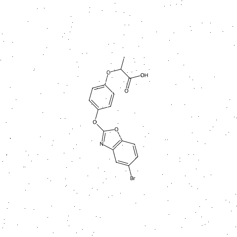 CC(Oc1ccc(Oc2nc3cc(Br)ccc3o2)cc1)C(=O)O